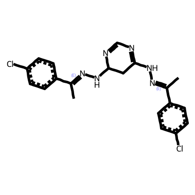 C/C(=N\NC1=NC=NC(N/N=C(\C)c2ccc(Cl)cc2)C1)c1ccc(Cl)cc1